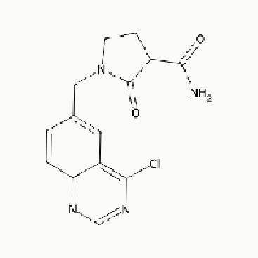 NC(=O)C1CCN(Cc2ccc3ncnc(Cl)c3c2)C1=O